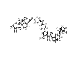 Cn1c(=O)n(C2CCC(=O)NC2=O)c2cccc(C#CCC3CCN(CC4CCC(C5N=C(NC(=O)c6cnn7ccc(N8C[C@H]9CC[C@@H](C8)O9)nc67)C(C(F)F)=N5)CC4)CC3)c21